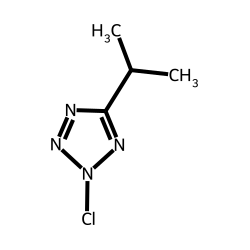 CC(C)c1nnn(Cl)n1